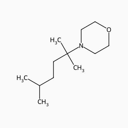 CC(C)CCC(C)(C)N1CCOCC1